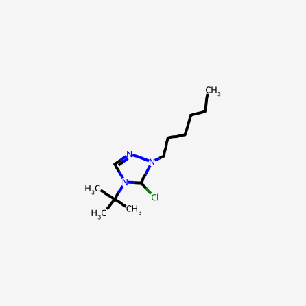 CCCCCCN1N=CN(C(C)(C)C)C1Cl